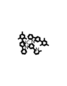 Cc1cc(C)c(-c2ccc3c4ccccc4n(-c4cc(-c5cccc(C)n5)cc(-n5c6ccccc6c6ccc(-c7c(C)cc(C)cc7C)cc65)c4C#N)c3c2)c(C)c1